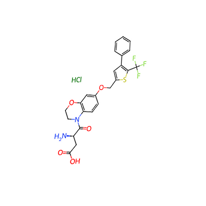 Cl.N[C@H](CC(=O)O)C(=O)N1CCOc2cc(OCc3cc(-c4ccccc4)c(C(F)(F)F)s3)ccc21